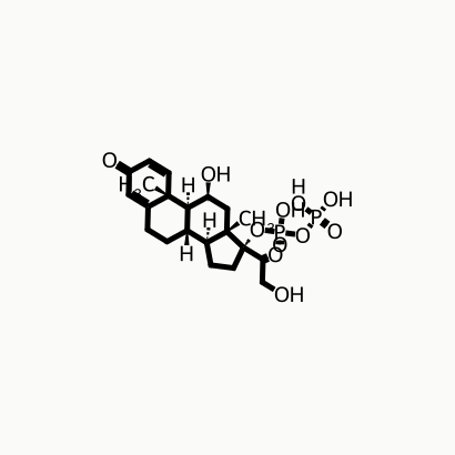 C[C@]12C=CC(=O)C=C1CC[C@@H]1[C@@H]2[C@@H](O)C[C@@]2(C)[C@H]1CC[C@]2(OP(=O)(O)OP(=O)(O)O)C(=O)CO